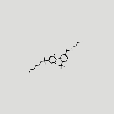 CCCCCCC(C)(C)c1cc(O)c2c(c1)OC(C)(C)[C@@H]1CC=C(C(=O)NOCCO)C[C@@H]21